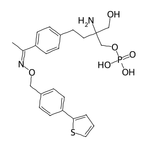 CC(=NOCc1ccc(-c2cccs2)cc1)c1ccc(CCC(N)(CO)COP(=O)(O)O)cc1